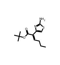 CCC/C=C(/C(=O)OC(C)(C)C)c1csc(N)n1